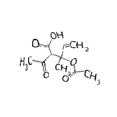 C=CC(C)(OC(C)=O)C(C(C)=O)C(=O)O